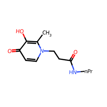 CCCNC(=O)CCn1ccc(=O)c(O)c1C